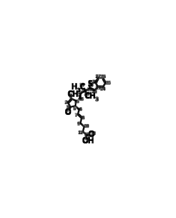 CC1=CC(=O)[C@H](CC=CCCCC(=O)O)[C@H]1C=CC(C)(C)c1cc2ccccc2s1